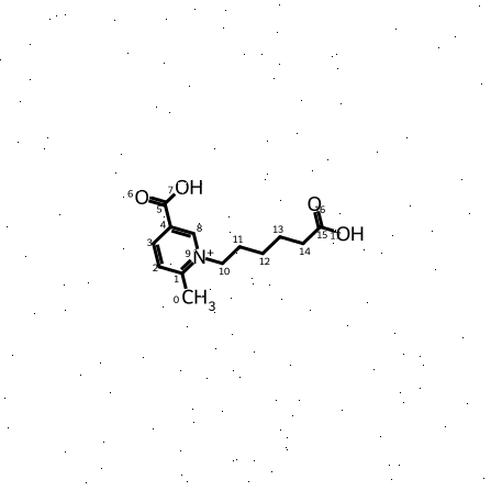 Cc1ccc(C(=O)O)c[n+]1CCCCCC(=O)O